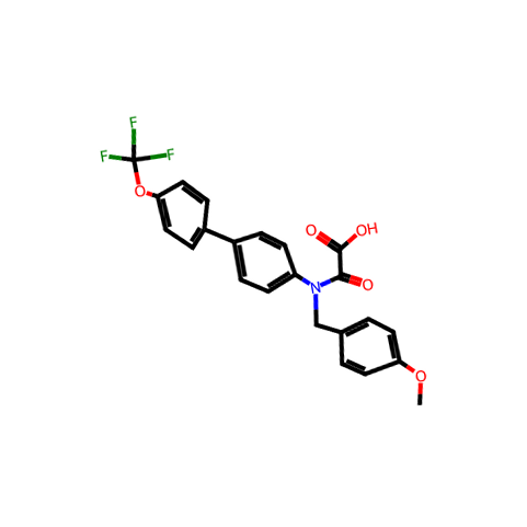 COc1ccc(CN(C(=O)C(=O)O)c2ccc(-c3ccc(OC(F)(F)F)cc3)cc2)cc1